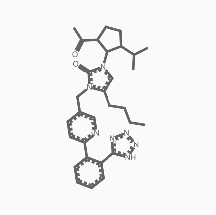 CCCCc1cn(C2C(C(C)=O)CCC2C(C)C)c(=O)n1Cc1ccc(-c2ccccc2-c2nnn[nH]2)nc1